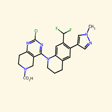 Cn1cc(-c2cc3c(cc2C(F)F)N(c2nc(Cl)nc4c2CN(C(=O)O)CC4)CCC3)cn1